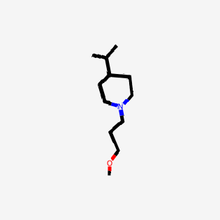 COCCCN1CCC(C(C)C)CC1